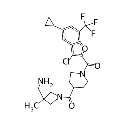 CC1(CN)CN(C(=O)C2CCN(C(=O)c3oc4c(C(F)(F)F)cc(C5CC5)cc4c3Cl)CC2)C1